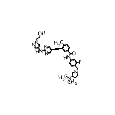 Cc1ccc(C(=O)Nc2ccc(CN3CC[C@@H](N(C)C)C3)c(F)c2)cc1C#Cc1cnc(Nc2cnn(CCO)c2)nc1